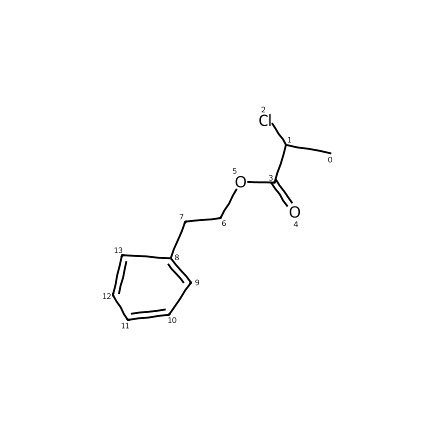 CC(Cl)C(=O)OCCc1ccccc1